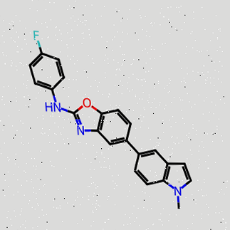 Cn1ccc2cc(-c3ccc4oc(Nc5ccc(F)cc5)nc4c3)ccc21